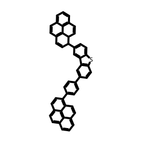 C1=CC(c2ccc3sc4ccc(-c5ccc(-c6ccc7ccc8cccc9ccc6c7c89)cc5)cc4c3c2)C2C=Cc3cccc4ccc1c2c34